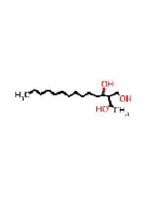 CCCCCCCCCCCC(O)C(CO)C(C)O